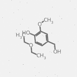 CCOCC.COc1cc(CO)ccc1O